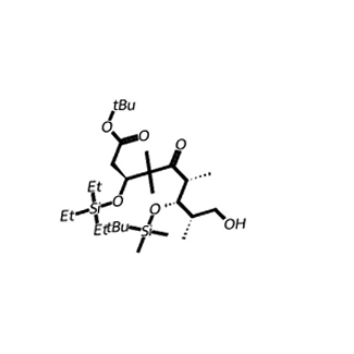 CC[Si](CC)(CC)O[C@@H](CC(=O)OC(C)(C)C)C(C)(C)C(=O)[C@H](C)[C@@H](O[Si](C)(C)C(C)(C)C)[C@@H](C)CO